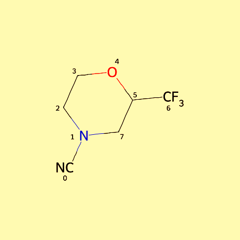 N#CN1CCOC(C(F)(F)F)C1